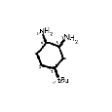 CC(C)(C)C1CCC(N)C(N)C1